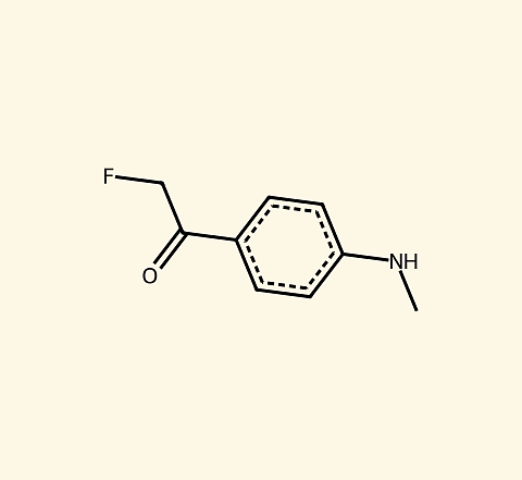 CNc1ccc(C(=O)CF)cc1